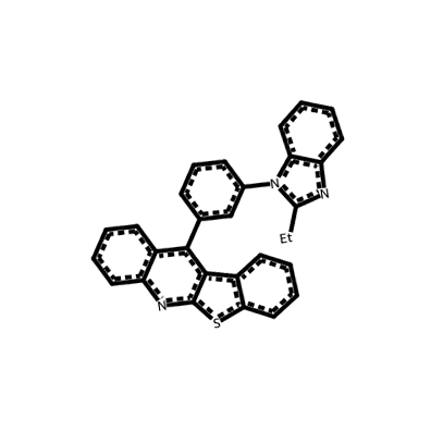 CCc1nc2ccccc2n1-c1cccc(-c2c3ccccc3nc3sc4ccccc4c23)c1